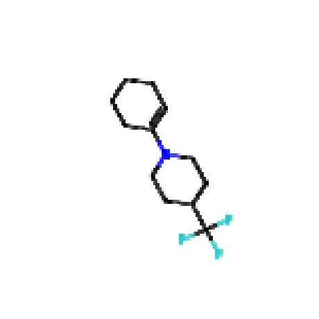 FC(F)(F)C1CCN(C2=CCCCC2)CC1